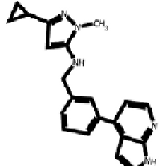 Cn1nc(C2CC2)cc1NCc1cccc(-c2ccnc3[nH]ccc23)c1